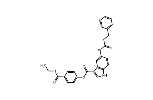 CCOC(=O)c1ccc(OC(=O)c2c[nH]c3ccc(NC(=O)CCc4cccnc4)cc23)cc1